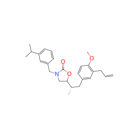 C=CCc1cc(C[C@H](C)C2CN(Cc3cccc(C(C)C)c3)C(=O)O2)ccc1OC